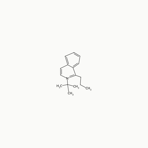 CCCc1c2ccccc2cc[n+]1C(C)(C)C